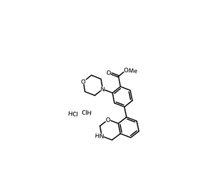 COC(=O)c1ccc(-c2cccc3c2OCNC3)cc1N1CCOCC1.Cl.Cl